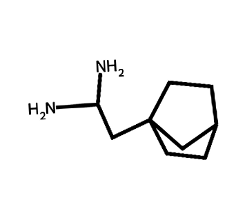 NC(N)CC12CCC(CC1)C2